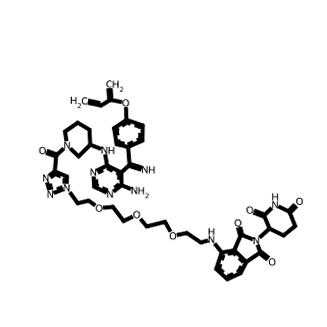 C=CC(=C)Oc1ccc(C(=N)c2c(N)ncnc2NC2CCCN(C(=O)c3cn(CCOCCOCCOCCNc4cccc5c4C(=O)N(C4CCC(=O)NC4=O)C5=O)nn3)C2)cc1